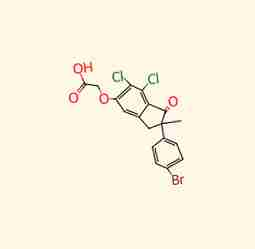 CC1(c2ccc(Br)cc2)Cc2cc(OCC(=O)O)c(Cl)c(Cl)c2C1=O